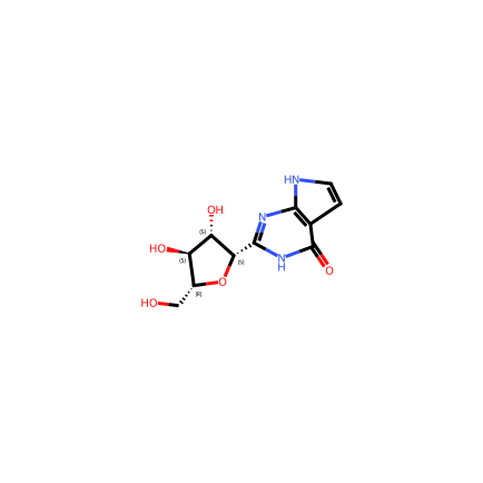 O=c1[nH]c([C@@H]2O[C@H](CO)[C@@H](O)[C@@H]2O)nc2[nH]ccc12